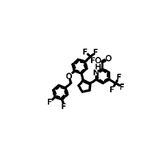 O=C(O)c1cc(C(F)(F)F)cc(C2=C(c3cc(C(F)(F)F)ccc3OCc3ccc(F)c(F)c3)CCC2)n1